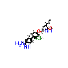 C=CC[C@@H]1C[C@@H](COc2ccc(-c3ccc(C(=N)N)cc3)cc2)NC1=O.Cl